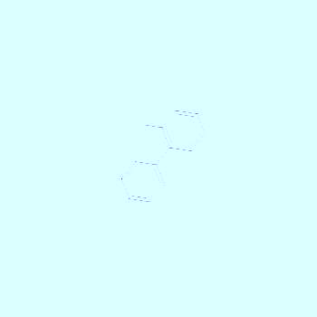 Cc1ccc(-c2ccc(Cl)cc2C)cc1